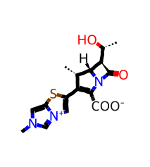 C[C@@H](O)[C@H]1C(=O)N2C(C(=O)[O-])=C(c3c[n+]4cn(C)cc4s3)[C@H](C)[C@H]12